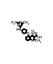 Cc1cc(N[C@H]2CC[C@H](Oc3cccc4nc(C)c(C(=O)O)c(N)c34)CC2)nc(N)n1